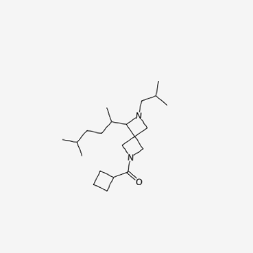 CC(C)CCC(C)C1N(CC(C)C)CC12CN(C(=O)C1CCC1)C2